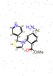 CC(N)=O.COC(=O)c1ccccc1N1C=CSC1c1ccncc1